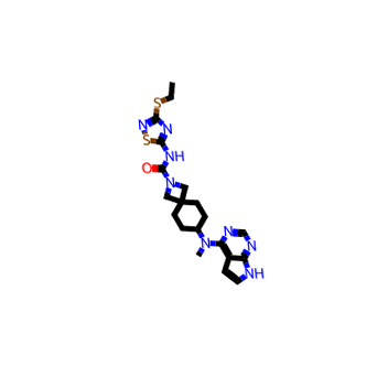 CCSc1nsc(NC(=O)N2CC3(CCC(N(C)c4ncnc5[nH]ccc45)CC3)C2)n1